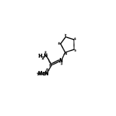 C[N]C(N)=NC1CCCC1